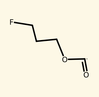 O=[C]OCCCF